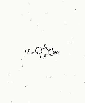 Nc1n[s+]([O-])nc1Nc1ccc(OC(F)(F)F)cc1